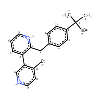 CCCCC(C)(C)c1ccc(Cc2ncccc2-c2cnccc2CC)cc1